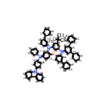 CC(C)(C)c1cc2c3c(c1)N(c1cccc(-c4ccccc4)c1)c1cc(N(c4ccccc4)c4ccc(-n5c6ccccc6c6ccccc65)cc4)ccc1B3c1ccc(-c3ccccc3)cc1N2c1cc(-c2ccccc2)cc(-c2ccccc2)c1